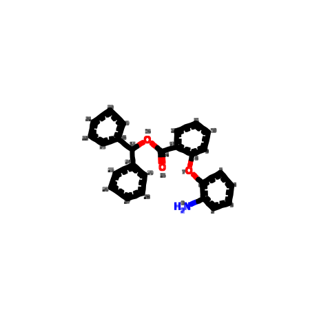 Nc1ccccc1Oc1ccccc1C(=O)OC(c1ccccc1)c1ccccc1